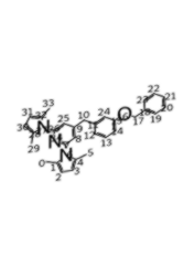 Cc1ccc(C)n1-c1cc(Cc2cccc(OCc3ccccc3)c2)cc(-n2c(C)ccc2C)n1